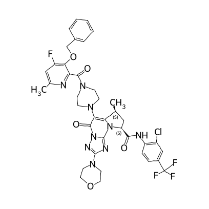 Cc1cc(F)c(OCc2ccccc2)c(C(=O)N2CCN(c3c4n(c5nc(N6CCOCC6)nn5c3=O)[C@H](C(=O)Nc3ccc(C(F)(F)F)cc3Cl)C[C@@H]4C)CC2)n1